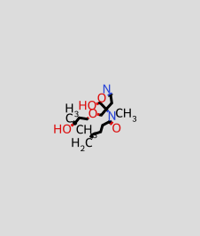 C=CCCC(=O)N(C)C(CC#N)(COCCC(C)(C)O)C(=O)O